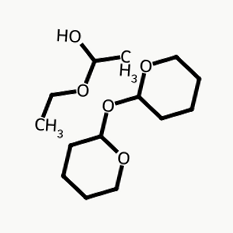 C1CCC(OC2CCCCO2)OC1.CCOC(C)O